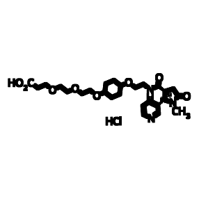 CN1C(=O)C[C@H](C(=O)NCCOC2CCC(OCCOCCOCCC(=O)O)CC2)[C@H]1c1cccnc1.Cl